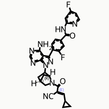 N#C/C(=C\C1CC1)C(=O)N1C[C@H]2CC(n3nc(-c4ccc(C(=O)Nc5cc(F)ccn5)cc4F)c4c(N)ncnc43)[C@H]1C2